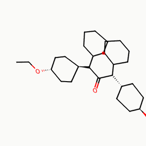 CCO[C@H]1CC[C@H](C(C(=O)C(C2CCCCC2)[C@H]2CC[C@H](OCC)CC2)C2CCCCC2)CC1